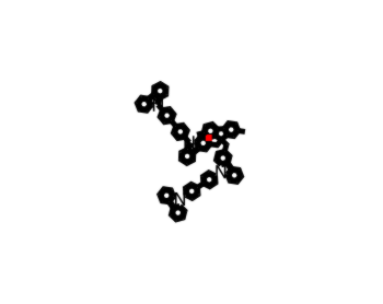 Cc1ccc2c(c1)C(Cc1ccc3c(c1)c1ccccc1n3-c1ccc(-c3ccc(-n4c5ccccc5c5ccccc54)cc3)cc1)(Cc1ccc3c(c1)c1ccccc1n3-c1ccc(-c3ccc(-n4c5ccccc5c5ccccc54)cc3)cc1)c1cc(C)ccc1-2